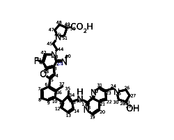 C/N=c1/c2cc(-c3cccc(-c4cccc(Nc5nccc6cc(CN7CC[C@@H](O)C7)cnc56)c4C)c3C)oc2c(F)cn1CCN1CC[C@@H](C(=O)O)C1